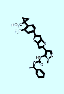 C[C@@H](OC(=O)Nc1c(-c2cc3sc(-c4ccc(C5(C(=O)O)CC5)c(C(F)(F)F)c4)cc3s2)cnn1C)c1ccccc1